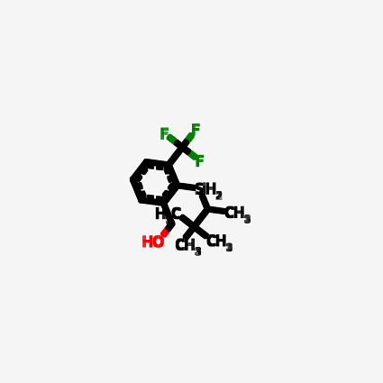 CC([SiH2]c1c(CO)cccc1C(F)(F)F)C(C)(C)C